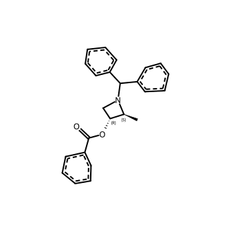 C[C@H]1[C@H](OC(=O)c2ccccc2)CN1C(c1ccccc1)c1ccccc1